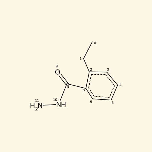 CCc1ccccc1C(=O)NN